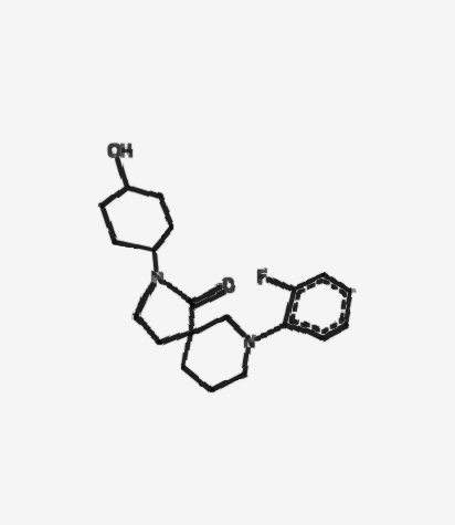 O=C1N(C2CCC(O)CC2)CCC12CCCN(c1cc[c]cc1F)C2